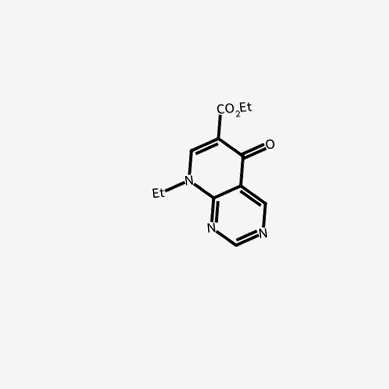 CCOC(=O)c1cn(CC)c2ncncc2c1=O